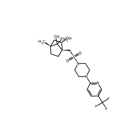 CC1(C)[C@]2(C)CC[C@@]1(CS(=O)(=O)N1CCN(c3ccc(C(F)(F)F)cn3)CC1)C(O)C2